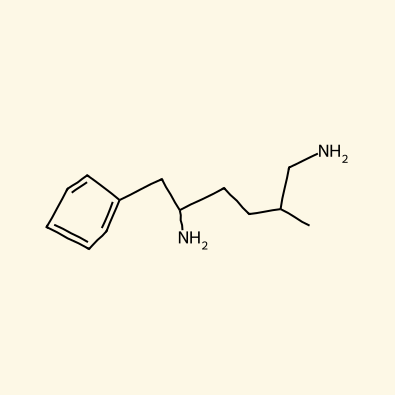 CC(CN)CCC(N)Cc1ccccc1